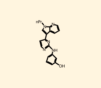 CCCn1cc(-c2ccnc(Nc3cccc(O)c3)n2)c2cccnc21